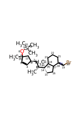 C[C@H](C[C@H]1C=C[C@](C)(O[Si](C)(C)C)C1)[C@H]1CCC2/C(=C/Br)CCC[C@@]21C